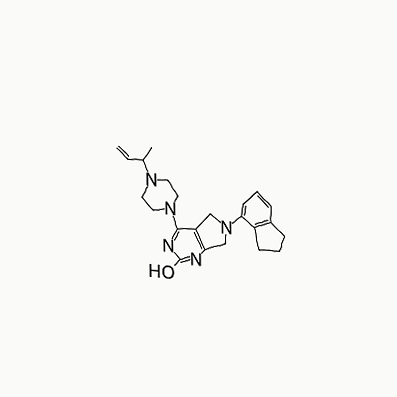 C=CC(C)N1CCN(c2nc(O)nc3c2CN(c2cccc4c2CCC4)C3)CC1